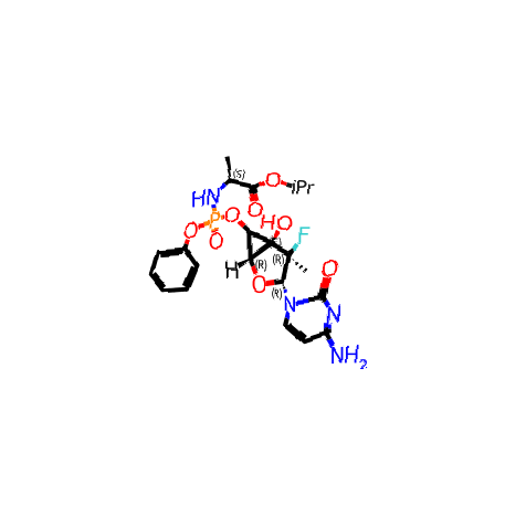 CC(C)OC(=O)[C@H](C)NP(=O)(Oc1ccccc1)OC1[C@H]2O[C@@H](n3ccc(N)nc3=O)[C@](C)(F)[C@@]12O